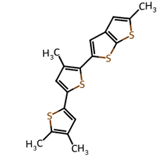 Cc1cc2cc(-c3sc(-c4cc(C)c(C)s4)cc3C)sc2s1